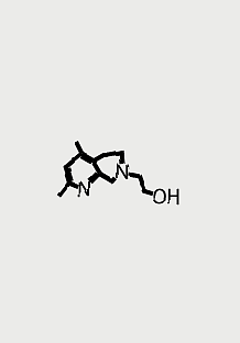 Cc1cc(C)c2c(n1)CN(CCO)CC2